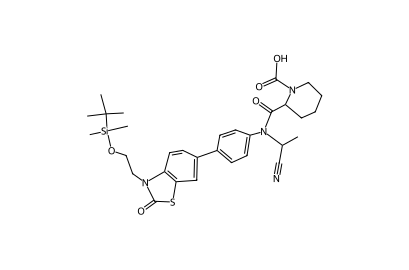 CC(C#N)N(C(=O)C1CCCCN1C(=O)O)c1ccc(-c2ccc3c(c2)sc(=O)n3CCO[Si](C)(C)C(C)(C)C)cc1